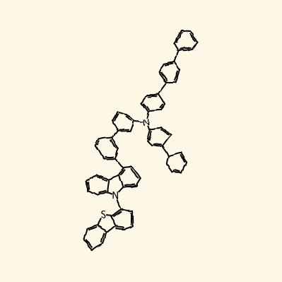 C1=CCC(c2ccc(N(c3ccc(-c4ccc(-c5ccccc5)cc4)cc3)c3cccc(-c4cccc(-c5cccc6c5c5ccccc5n6-c5cccc6c5sc5ccccc56)c4)c3)cc2)C=C1